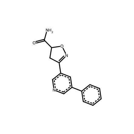 NC(=O)C1CC(c2cncc(-c3ccccc3)c2)=NO1